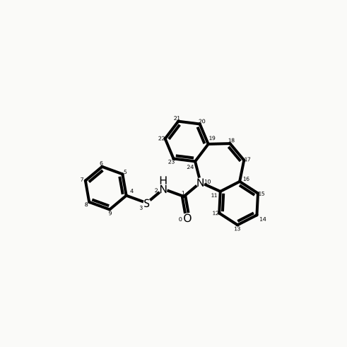 O=C(NSc1ccccc1)N1c2ccccc2C=Cc2ccccc21